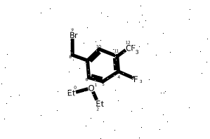 CCOCC.Fc1ccc(CBr)cc1C(F)(F)F